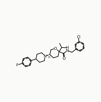 CC(C)C1(C(=O)NCc2cccc(Cl)c2)CC[C@@H](N2CCC(c3ccc(F)cc3)CC2)CO1